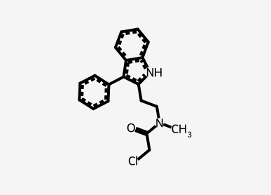 CN(CCc1[nH]c2ccccc2c1-c1ccccc1)C(=O)CCl